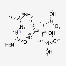 NC(=O)/N=N/C(N)=O.O=C(O)CC(O)(CC(=O)O)C(=O)O